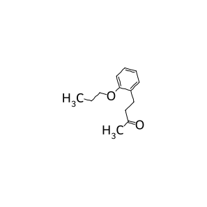 CCCOc1ccccc1CCC(C)=O